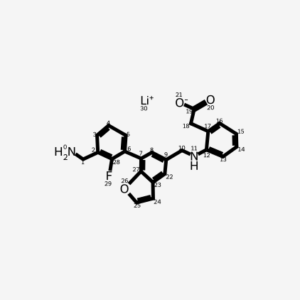 NCc1cccc(-c2cc(CNc3ccccc3CC(=O)[O-])cc3ccoc23)c1F.[Li+]